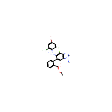 CCOC(=O)c1ccccc1-c1cc2c(ncn2C)c(F)c1Nc1ccc(Br)cc1Cl